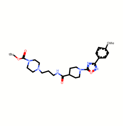 COc1ccc(-c2noc(N3CCC(C(=O)NCCCN4CCN(C(=O)OC(C)(C)C)CC4)CC3)n2)cc1